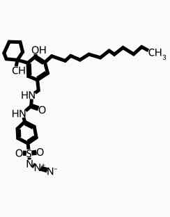 CCCCCCCCCCCCc1cc(CNC(=O)Nc2ccc(S(=O)(=O)N=[N+]=[N-])cc2)cc(C2(C)CCCCC2)c1O